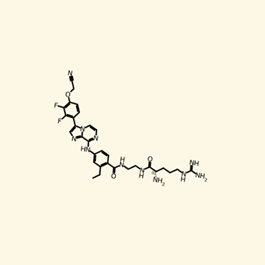 CCc1cc(Nc2nccn3c(-c4ccc(OCC#N)c(F)c4F)cnc23)ccc1C(=O)NCCNC(=O)[C@@H](N)CCCNC(=N)N